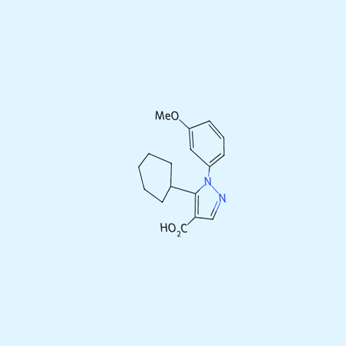 COc1cccc(-n2ncc(C(=O)O)c2C2CCCCC2)c1